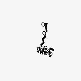 C=C[Si](O)(OC)O[Si](O)(CCCCOCC1CO1)OC